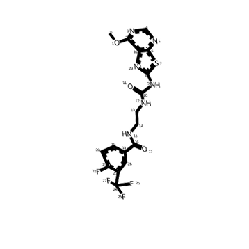 COc1ncnc2sc(NC(=O)NCCNC(=O)c3ccc(F)c(C(F)(F)F)c3)nc12